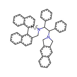 CN(Cc1ccc2ccccc2c1-c1cccc2ccccc12)C(c1ccccc1)C(c1ccccc1)N1Cc2cc3ccccc3cc2C1